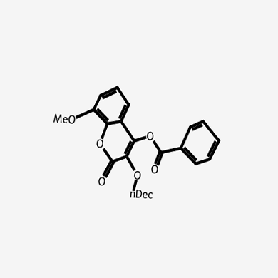 CCCCCCCCCCOc1c(OC(=O)c2ccccc2)c2cccc(OC)c2oc1=O